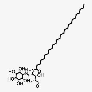 CCCCCCCCCCCCCCCCCCCCCCCCCC(=O)N[C@@H](CN[C@H]1[C@H](O)[C@H](O)[C@@H](O)[C@H](O)[C@H]1O)[C@H](O)[C@@H](C)N=O